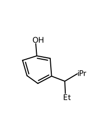 CCC(c1cccc(O)c1)C(C)C